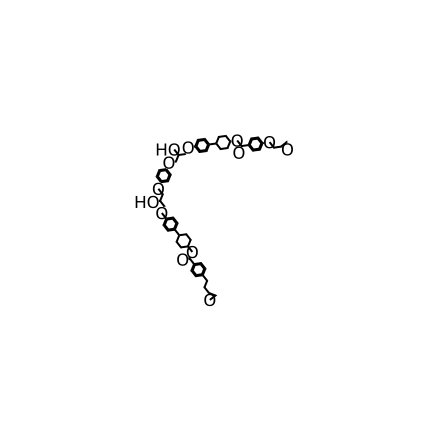 O=C(OC1CCC(c2ccc(OCC(O)COc3ccc(OCC(O)COc4ccc(C5CCC(OC(=O)c6ccc(OCC7CO7)cc6)CC5)cc4)cc3)cc2)CC1)c1ccc(CCC2CO2)cc1